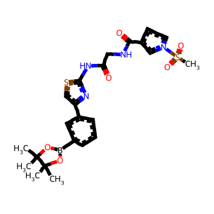 CC1(C)OB(c2cccc(-c3csc(NC(=O)CNC(=O)c4ccn(S(C)(=O)=O)c4)n3)c2)OC1(C)C